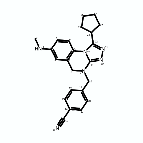 CNc1ccc2c(c1)CN(Cc1ccc(C#N)cc1)c1nnc(C3CCCC3)n1-2